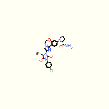 CC(C)C1C(=O)N(c2ccc(Cl)cc2)C(=O)N1c1cn2c(n1)-c1ccc(N3CCC[C@H]3C(N)=O)cc1OCC2